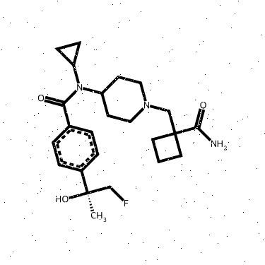 C[C@@](O)(CF)c1ccc(C(=O)N(C2CC2)C2CCN(CC3(C(N)=O)CCC3)CC2)cc1